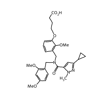 COc1ccc(CN(Cc2cccc(OCCCC(=O)O)c2OC)C(=O)c2cc(C3CC3)nn2C)c(OC)c1